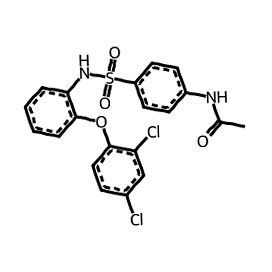 CC(=O)Nc1ccc(S(=O)(=O)Nc2ccccc2Oc2ccc(Cl)cc2Cl)cc1